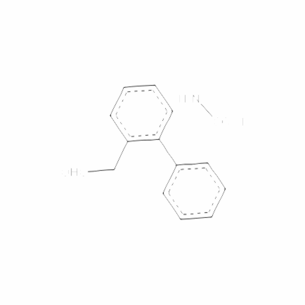 NC(=O)O.O=CCc1ccccc1-c1ccccc1